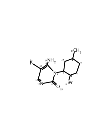 CC1CCC(C(C)C)C(n2c(N)c(F)[c]nc2=O)C1